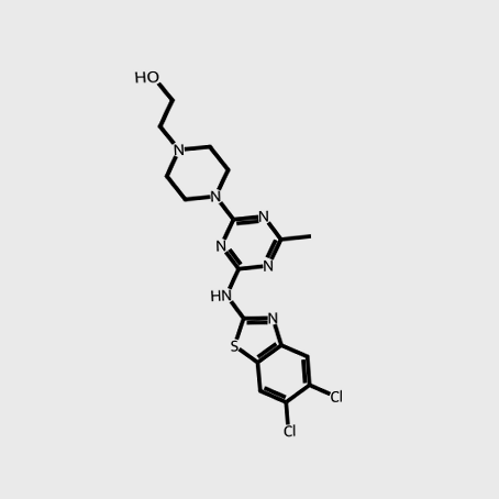 Cc1nc(Nc2nc3cc(Cl)c(Cl)cc3s2)nc(N2CCN(CCO)CC2)n1